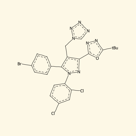 CC(C)(C)c1nnc(-c2nn(-c3ccc(Cl)cc3Cl)c(-c3ccc(Br)cc3)c2Cn2cnnn2)o1